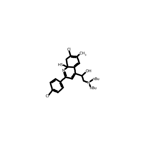 CCCCN(CCCC)CC(O)C1=CC(c2ccc(Cl)cc2)=NC2(S)CC(Cl)=C(C)C=C12